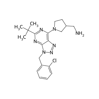 CC(C)(C)c1nc(N2CCC(CN)C2)c2nnn(Cc3ccccc3Cl)c2n1